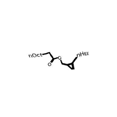 CCCCCCCCCC(=O)OCC1CC1CCCCCC